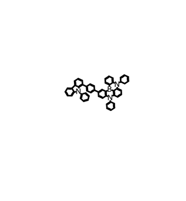 C1=CCC(N2c3ccccc3B3c4cc(-c5ccc(-c6cccc7c8ccccc8n(-c8ccccc8)c67)cc5)ccc4N(c4ccccc4)c4cccc2c43)C=C1